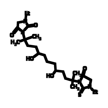 CCN1CC(=O)N(C(C)(C)CCC(O)CCCC(O)CCC(C)(C)N2C(=O)CN(CC)C2=S)C1=O